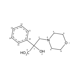 O=C(O)C(O)(CN1CCOCC1)c1ccccc1